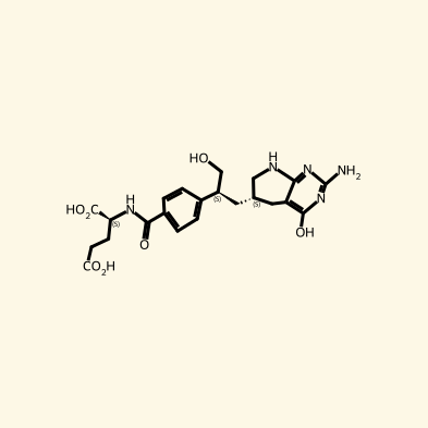 Nc1nc(O)c2c(n1)NC[C@@H](C[C@H](CO)c1ccc(C(=O)N[C@@H](CCC(=O)O)C(=O)O)cc1)C2